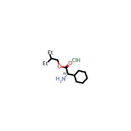 CCC(CC)COC(=O)[C@@H](N)C1CCCCC1.Cl